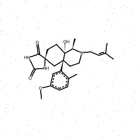 COc1ccc(C)c([C@]23CCN(CC=C(C)C)[C@H](C)[C@]2(O)CC[C@@]2(C3)NC(=O)NC2=O)c1